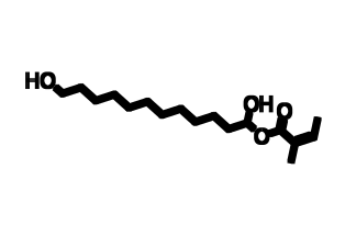 CC=C(C)C(=O)OC(O)CCCCCCCCCCCO